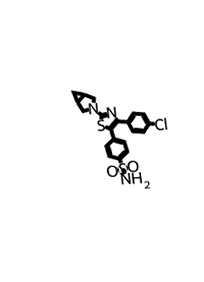 NS(=O)(=O)c1ccc(-c2sc(N3CC4CC4C3)nc2-c2ccc(Cl)cc2)cc1